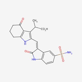 CC(C(=O)O)c1c(/C=C2\C(=O)Nc3ccc(S(N)(=O)=O)cc32)[nH]c2c1C(=O)CCC2